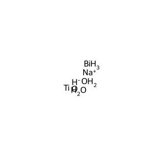 O.O.[BiH3].[Na+].[OH-].[Ti]